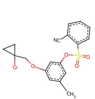 Cc1cc(OCC2([O])CC2)cc(OS(=O)(=O)c2ccccc2C#N)c1